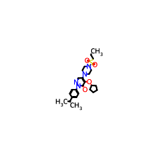 CCCS(=O)(=O)N1CCN(c2cnn(-c3ccc(C(C)C)cc3)c(=O)c2OC2CCCC2)CC1